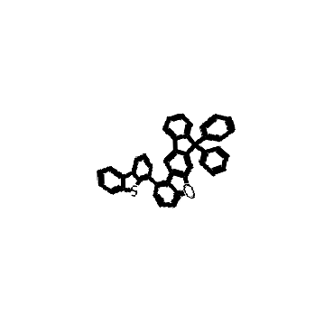 c1ccc(C2(c3ccccc3)c3ccccc3-c3cc4c(cc32)oc2cccc(-c3cccc5c3sc3ccccc35)c24)cc1